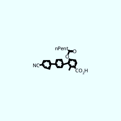 CCCCCC(=O)Oc1ccc(C(=O)O)c(C)c1-c1ccc(-c2ccc(C#N)cc2)cc1